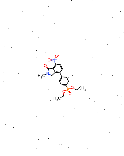 CCOP(=O)(OCC)C1=CC=C(c2ccc([N+](=O)[O-])c3c2CN(C)C3=O)CC1